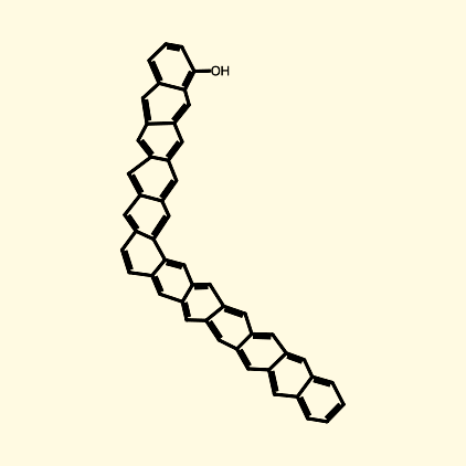 Oc1cccc2cc3cc4cc5cc6ccc7cc8cc9cc%10cc%11cc%12ccccc%12cc%11cc%10cc9cc8cc7c6cc5cc4cc3cc12